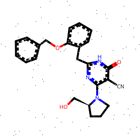 N#Cc1c(N2CCC[C@H]2CO)nc(Cc2ccccc2OCc2ccccc2)[nH]c1=O